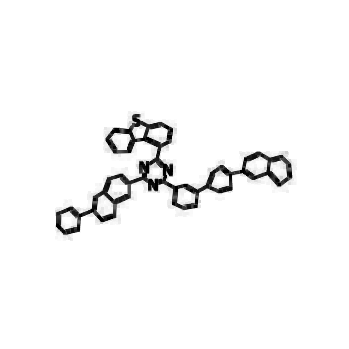 c1ccc(-c2ccc3cc(-c4nc(-c5cccc(-c6ccc(-c7ccc8ccccc8c7)cc6)c5)nc(-c5cccc6sc7ccccc7c56)n4)ccc3c2)cc1